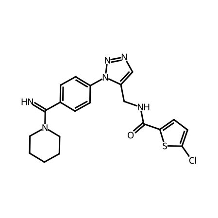 N=C(c1ccc(-n2nncc2CNC(=O)c2ccc(Cl)s2)cc1)N1CCCCC1